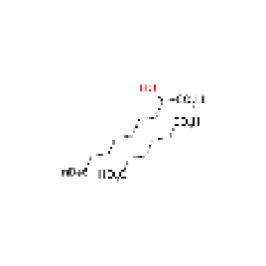 CCCCCCCCCCCCCCCCC(O)C(=O)O.O=C(O)CCCCC(=O)O